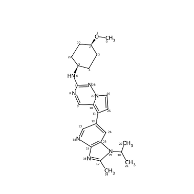 CO[C@H]1CC[C@@H](Nc2ncc3c(-c4cnc5nc(C)n(C(C)C)c5c4)ccn3n2)CC1